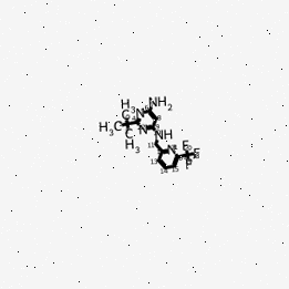 CC(C)(C)c1nc(N)cc(NCc2cccc(C(F)(F)F)n2)n1